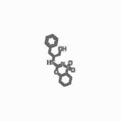 O=S1(=O)N=C(N[C@H](CO)Cc2ccccc2)OC2CCCCC21